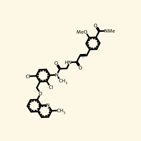 CNC(=O)c1ccc(/C=C/C(=O)NCC(=O)N(C)c2ccc(Cl)c(COc3cccc4ccc(C)nc34)c2Cl)cc1OC